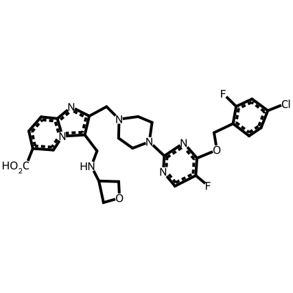 O=C(O)c1ccc2nc(CN3CCN(c4ncc(F)c(OCc5ccc(Cl)cc5F)n4)CC3)c(CNC3COC3)n2c1